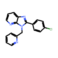 Clc1ccc(-c2nc3cccnc3n2Cc2ccccn2)cc1